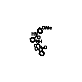 COc1ccc(NC(=O)c2ccccc2NC(=O)CN2C(=O)c3ccccc3C2=O)cc1